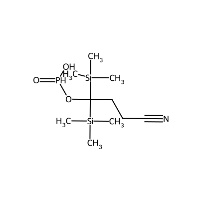 C[Si](C)(C)C(CCC#N)(O[PH](=O)O)[Si](C)(C)C